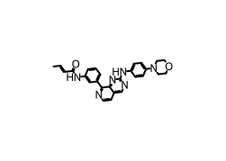 C/C=C/C(=O)Nc1cccc(-c2nccc3cnc(Nc4ccc(N5CCOCC5)cc4)nc23)c1